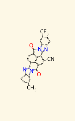 Cc1ccc2nc3c4ccc5c(=O)n6c7cc(C(F)(F)F)ccc7nc6c6c(C#N)cc(c(=O)n3c2c1)c4c56